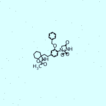 CS(=O)(=O)NC1(CCc2ccc(N3CC(=O)NS3(=O)=O)c(OCc3ccccc3)c2)CCCCC1